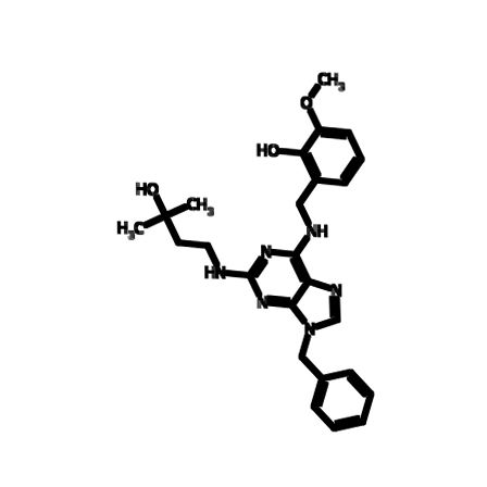 COc1cccc(CNc2nc(NCCC(C)(C)O)nc3c2ncn3Cc2ccccc2)c1O